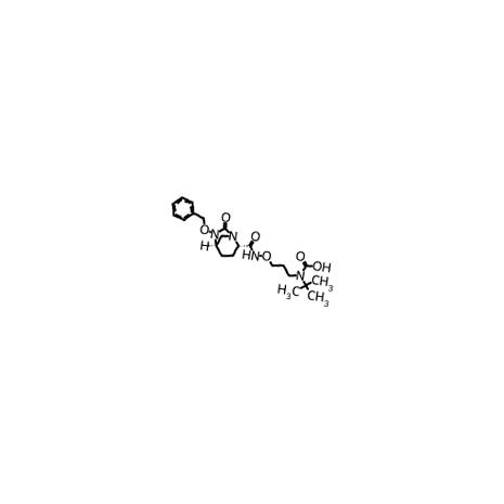 CC(C)(C)N(CCCONC(=O)[C@@H]1CC[C@@H]2CN1C(=O)N2OCc1ccccc1)C(=O)O